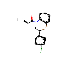 C=CC(=O)N1CC(c2ccc(Cl)cc2)Sc2ccccc21